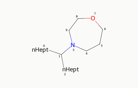 CCCCCCCC(CCCCCCC)N1CCCOCC1